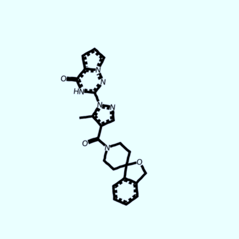 Cc1c(C(=O)N2CCC3(CC2)OCc2ccccc23)cnn1-c1nn2cccc2c(=O)[nH]1